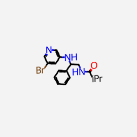 CC(C)C(=O)NCC(Nc1cncc(Br)c1)c1ccccc1